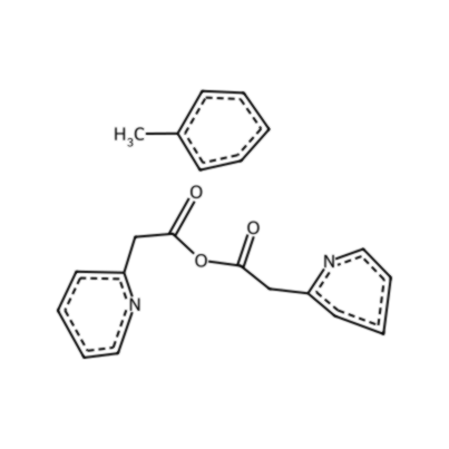 Cc1ccccc1.O=C(Cc1ccccn1)OC(=O)Cc1ccccn1